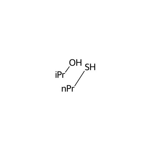 CC(C)O.CCCS